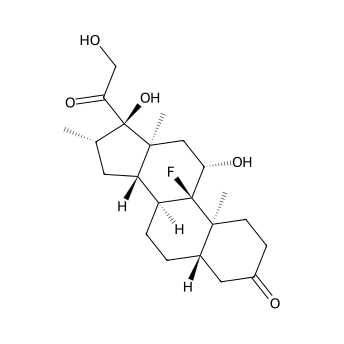 C[C@H]1C[C@H]2[C@@H]3CC[C@H]4CC(=O)CC[C@]4(C)[C@@]3(F)[C@@H](O)C[C@]2(C)[C@@]1(O)C(=O)CO